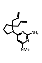 C=CCC1(CC=C)CCCN1c1cc(NC)nc(N)n1